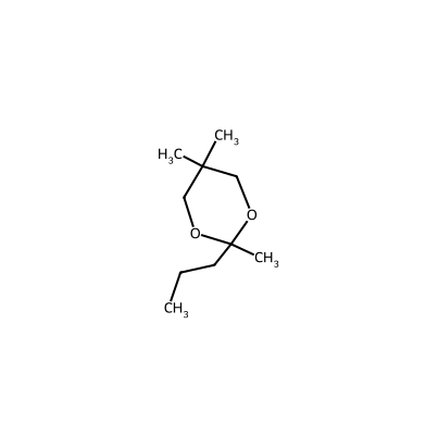 CCCC1(C)OCC(C)(C)CO1